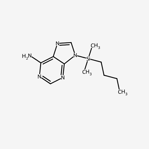 CCCC[Si](C)(C)n1cnc2c(N)ncnc21